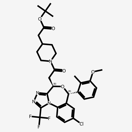 COc1cccc([C@H]2O[C@H](CC(=O)N3CCC(CC(=O)OC(C)(C)C)CC3)c3nnc(C(F)(F)F)n3-c3ccc(Cl)cc32)c1C